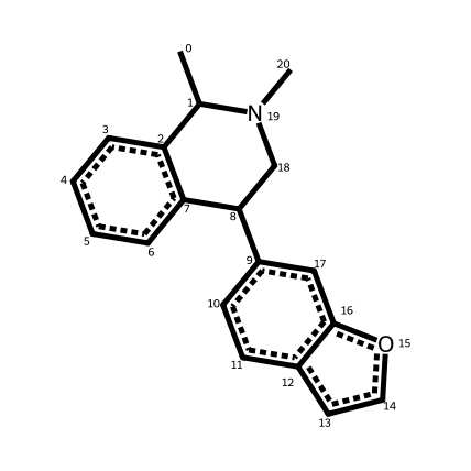 CC1c2ccccc2C(c2ccc3ccoc3c2)CN1C